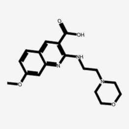 COc1ccc2cc(C(=O)O)c(NCCN3CCOCC3)nc2c1